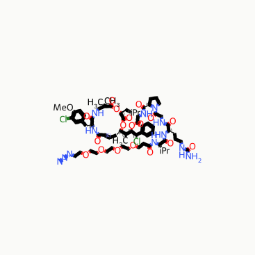 COc1ccc(C[C@H]2NC(=O)/C=C/C[C@@H]([C@H](C)[C@@H](OC(=O)CNC(=O)[C@@H]3CCCN3C(=O)CNC(=O)[C@H](CCCNC(N)=O)NC(=O)C(NC(=O)CCOCCOCCOCCOCCN=[N+]=[N-])C(C)C)[C@@H](Cl)c3ccccc3)OC(=O)[C@H](CC(C)C)OC(=O)C(C)(C)CNC2=O)cc1Cl